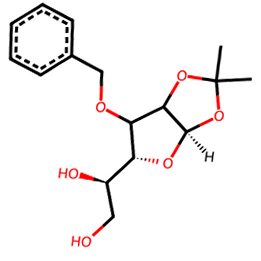 CC1(C)OC2C(OCc3ccccc3)[C@@H]([C@H](O)CO)O[C@@H]2O1